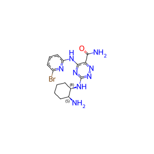 NC(=O)c1nnc(N[C@@H]2CCCC[C@@H]2N)nc1Nc1cccc(Br)n1